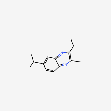 CCc1nc2cc(C(C)C)ccc2nc1C